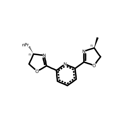 CCC[C@H]1COC(c2cccc(C3=N[C@@H](C)CO3)n2)=N1